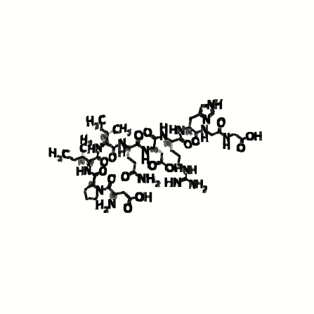 CC[C@H](C)[C@H](NC(=O)[C@@H](NC(=O)[C@@H]1CCCN1C(=O)[C@@H](N)CC(=O)O)[C@@H](C)CC)C(=O)N[C@@H](CCC(N)=O)C(=O)N[C@@H](CC(=O)O)C(=O)N[C@@H](CCCNC(=N)N)C(=O)N[C@@H](Cc1c[nH]cn1)C(=O)NCC(=O)NCC(=O)O